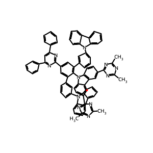 Cc1nc(C)nc(-c2ccc3c(c2)c2cc(-c4nc(C)nc(C)n4)ccc2n3-c2c(-c3cccc(-n4c5ccccc5c5ccccc54)c3)cc(-c3nc(-c4ccccc4)cc(-c4ccccc4)n3)cc2-c2cccc(-n3c4ccccc4c4ccccc43)c2)n1